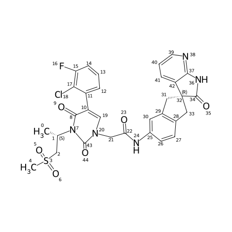 C[C@@H](CS(C)(=O)=O)n1c(=O)c(-c2cccc(F)c2Cl)cn(CC(=O)Nc2ccc3c(c2)C[C@@]2(C3)C(=O)Nc3ncccc32)c1=O